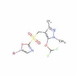 Cn1nc(C(F)(F)F)c(CS(=O)(=O)c2ncc(Br)o2)c1OC(F)F